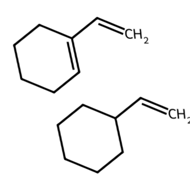 C=CC1=CCCCC1.C=CC1CCCCC1